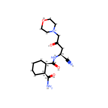 N#C[C@H](CC(=O)CN1CCOCC1)NC(=O)[C@@H]1CCCC[C@@H]1C(N)=O